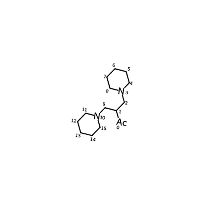 CC(=O)C(CN1CCCCC1)CN1CCCCC1